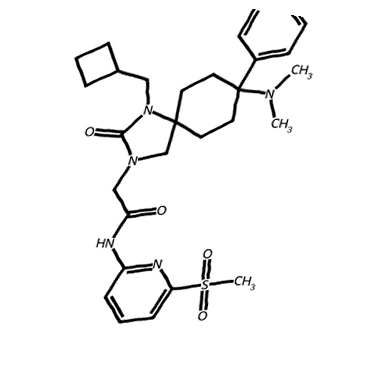 CN(C)C1(c2ccccc2)CCC2(CC1)CN(CC(=O)Nc1cccc(S(C)(=O)=O)n1)C(=O)N2CC1CCC1